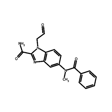 CN(C(=O)c1ccccc1)c1ccc2c(c1)nc(C(N)=O)n2CC=O